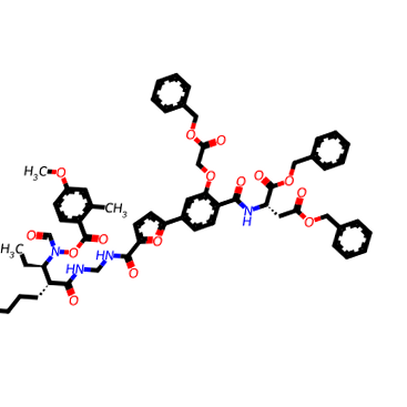 CCCCC[C@@H](C(=O)NCNC(=O)c1ccc(-c2ccc(C(=O)N[C@@H](CC(=O)OCc3ccccc3)C(=O)OCc3ccccc3)c(OCC(=O)OCc3ccccc3)c2)o1)[C@@H](CC)N(C=O)OC(=O)c1ccc(OC)cc1C